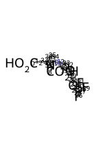 O=C(O)CCCc1cn(CC(=O)O)c2c(/C=C/c3ccc(OCCCCOc4cc(F)cc(F)c4F)cc3)cccc12